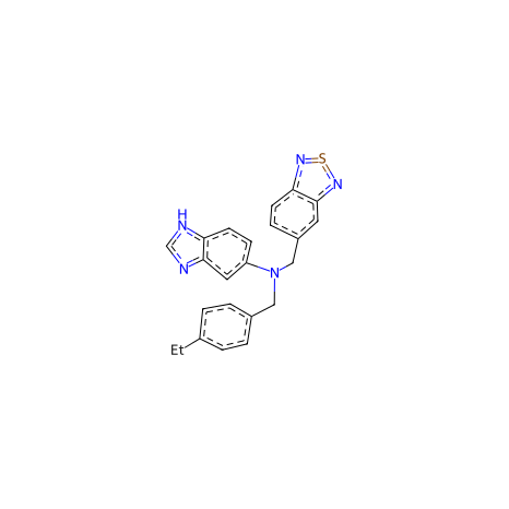 CCc1ccc(CN(Cc2ccc3nsnc3c2)c2ccc3[nH]cnc3c2)cc1